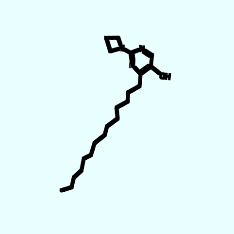 CCCCCCCCCCCCCCc1nc(N2CCC2)ncc1O